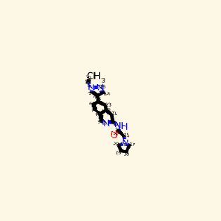 CCn1cc(-c2ccc3cnc(NC(=O)CN4CCCC4)cc3c2)cn1